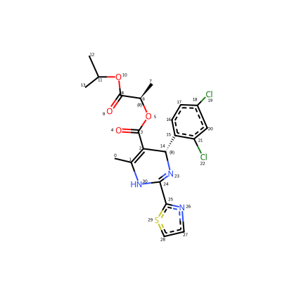 CC1=C(C(=O)O[C@H](C)C(=O)OC(C)C)[C@H](c2ccc(Cl)cc2Cl)N=C(c2nccs2)N1